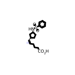 O=C(O)CCC/C=C\[C@@H]1CC[C@H](NS(=O)(=O)c2ccccc2)C1